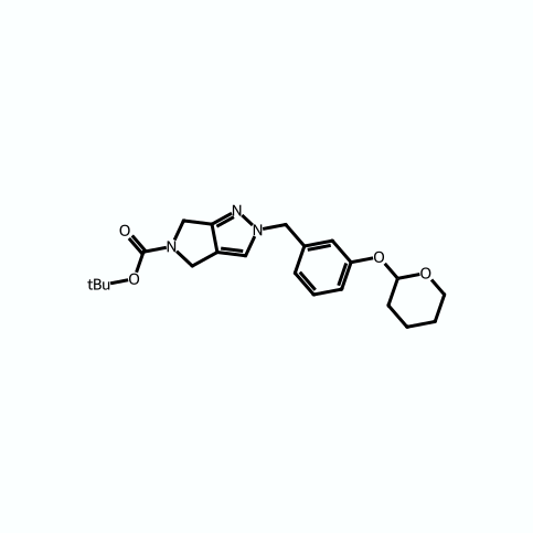 CC(C)(C)OC(=O)N1Cc2cn(Cc3cccc(OC4CCCCO4)c3)nc2C1